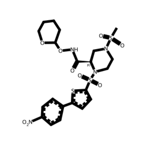 CS(=O)(=O)N1CCN(S(=O)(=O)c2ccc(-c3ccc([N+](=O)[O-])cc3)s2)[C@@H](C(=O)NOC2CCCCO2)C1